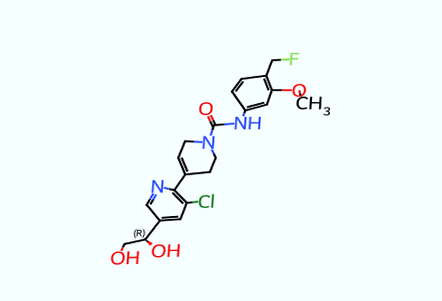 COc1cc(NC(=O)N2CC=C(c3ncc([C@@H](O)CO)cc3Cl)CC2)ccc1CF